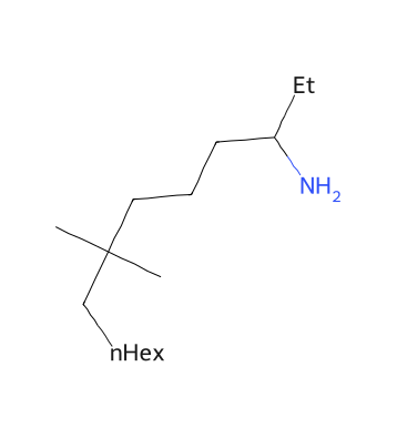 CCCCCCCC(C)(C)CCCC(N)CC